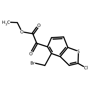 CCOC(=O)C(=O)c1ccc2sc(Cl)cc2c1CBr